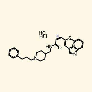 Cl.Cl.O=C(/C=C\C1=Cc2cnc3cccc(n23)S1)NCC1CCN(CCCc2ccccc2)CC1